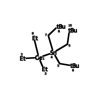 C[CH2][Ge]([CH2]C)([CH2]C)[Sn]([CH2]C(C)(C)C)([CH2]C(C)(C)C)[CH2]C(C)(C)C